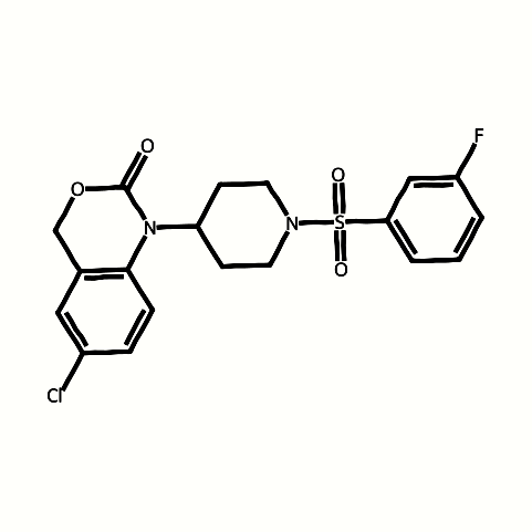 O=C1OCc2cc(Cl)ccc2N1C1CCN(S(=O)(=O)c2cccc(F)c2)CC1